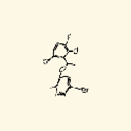 Cc1ncc(Br)cc1OC(C)c1c(Cl)ccc(F)c1Cl